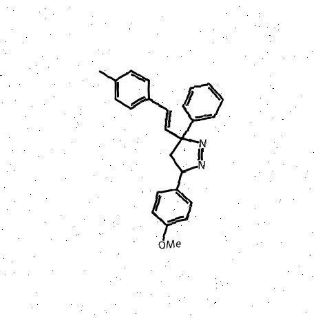 COc1ccc(C2CC(C=Cc3ccc(C)cc3)(c3ccccc3)N=N2)cc1